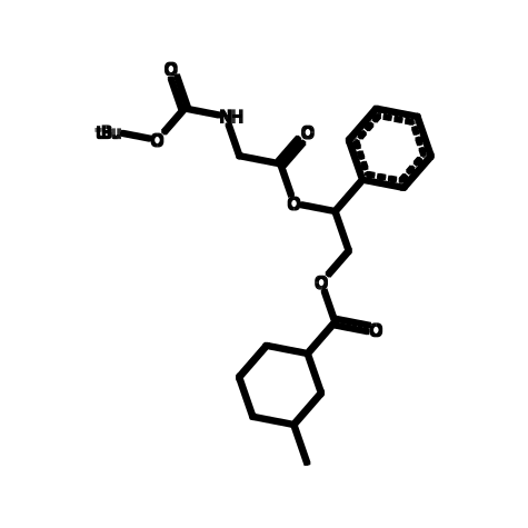 CC1CCCC(C(=O)OCC(OC(=O)CNC(=O)OC(C)(C)C)c2ccccc2)C1